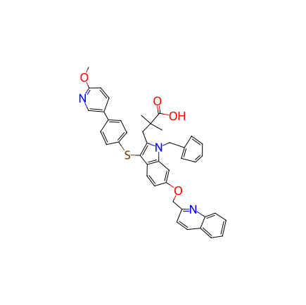 COc1ccc(-c2ccc(Sc3c(CC(C)(C)C(=O)O)n(Cc4ccccc4)c4cc(OCc5ccc6ccccc6n5)ccc34)cc2)cn1